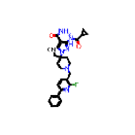 N#CCC1(n2cc(C(N)=O)c(NC(=O)C3CC3)n2)CCN(Cc2ccc(-c3ccccc3)nc2F)CC1